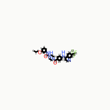 CCCOc1cccc(NC(=O)N2CCN(C(=O)c3ccc(Nc4ccnc5cc(C(F)(F)F)ccc45)cc3)CC2)c1